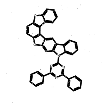 c1ccc(-c2nc(-c3ccccc3)nc(-n3c4ccccc4c4cc5c(cc43)oc3ccc4oc6ccccc6c4c35)n2)cc1